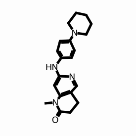 CN1C(=O)CCc2cnc(Nc3ccc(N4CCCCC4)cc3)cc21